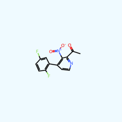 CC(=O)c1nccc(-c2cc(F)ccc2F)c1[N+](=O)[O-]